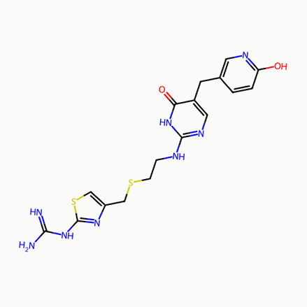 N=C(N)Nc1nc(CSCCNc2ncc(Cc3ccc(O)nc3)c(=O)[nH]2)cs1